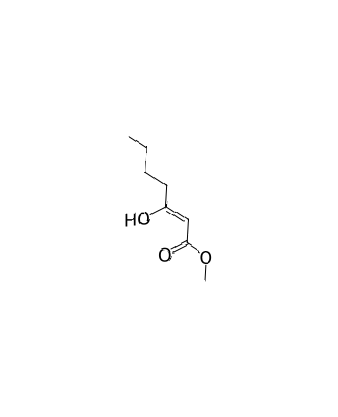 CCCCC(O)=CC(=O)OC